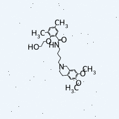 COc1cc2c(cc1OC)CN(CCCCNC(=O)c1cc(C)cc(C)c1OCCO)CC2